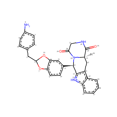 Nc1ccc(CC2Oc3ccc([C@@H]4c5[nH]c6ccccc6c5C[C@@H]5C(=O)NCC(=O)N45)cc3O2)cc1